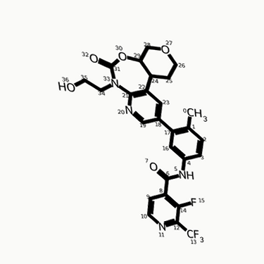 Cc1ccc(NC(=O)c2ccnc(C(F)(F)F)c2F)cc1-c1cnc2c(c1)C1CCOCC1OC(=O)N2CCO